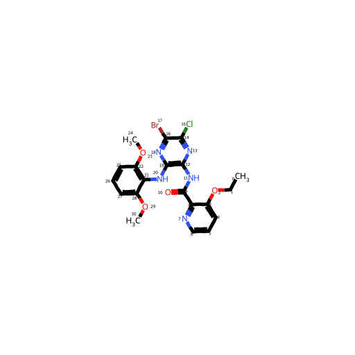 CCOc1cccnc1C(=O)Nc1nc(Cl)c(Br)nc1Nc1c(OC)cccc1OC